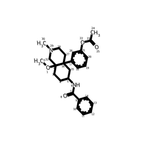 COC12CCC(NC(=O)c3ccccc3)CC1(c1cccc(OC(C)=O)c1)CCN(C)C2